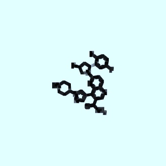 NC(=O)c1cnc2ccc(N3C[C@@H](F)C[C@@H]3c3cc(F)ccc3F)nc2c1-c1cnn(C2CCNCC2)c1